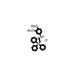 COc1ccc(NC(=O)C[P+](c2ccccc2)(c2ccccc2)c2ccccc2)cc1OC.[Cl-]